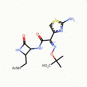 CC(=O)NCC1NC(=O)C1NC(=O)/C(=N\OC(C)(C)C(=O)O)c1csc(N)n1